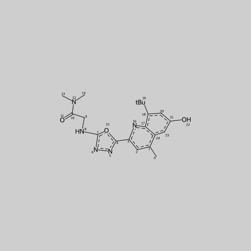 Cc1cc(-c2nnc(NCC(=O)N(C)C)o2)nc2c(C(C)(C)C)cc(O)cc12